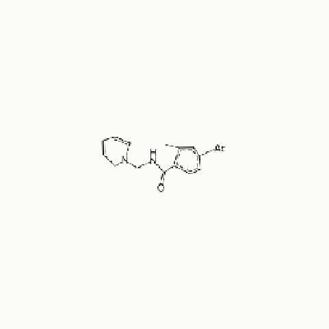 CC(=O)c1ccc(C(=O)NCN2C=CC=CC2)c(C)c1